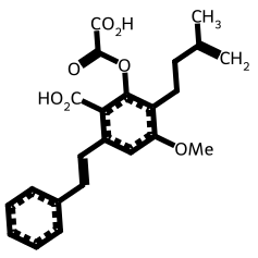 C=C(C)CCc1c(OC)cc(/C=C/c2ccccc2)c(C(=O)O)c1OC(=O)C(=O)O